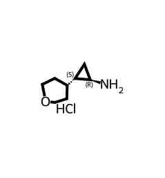 Cl.N[C@@H]1C[C@H]1C1CCOCC1